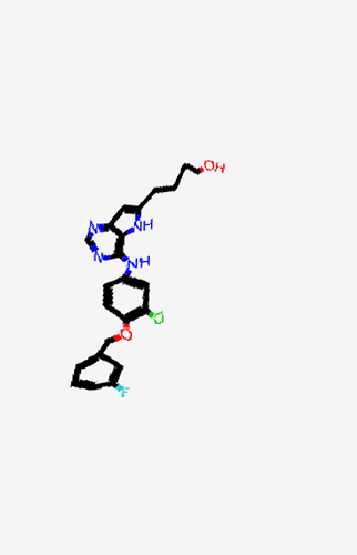 OCCCCc1cc2ncnc(Nc3ccc(OCc4cccc(F)c4)c(Cl)c3)c2[nH]1